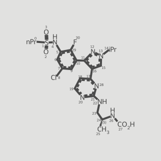 CCCS(=O)(=O)Nc1cc(Cl)cc(-c2nn(C(C)C)cc2-c2ccnc(NC[C@H](C)NC(=O)O)n2)c1F